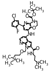 CN(C)CCNC(=O)c1cc2c(Nc3cc(-c4cc(Cl)ccc4F)nc4c3OCCN4C(=O)OC(C)(C)C)ccnc2n1COCC[Si](C)(C)C